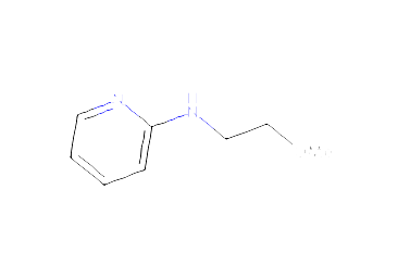 COCCNc1cc[c]cn1